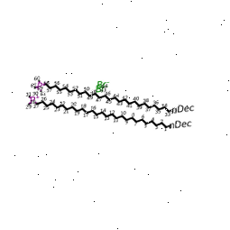 CCCCCCCCCCCCCCCCCCCCCCCCCCCCCCCCCCCCC[P+](C)(C)C.CCCCCCCCCCCCCCCCCCCCCCCCCCCCCCCCCCCC[P+](C)(C)C.[Br-].[Br-]